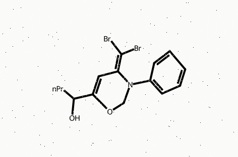 CCCC(O)C1=CC(=C(Br)Br)N(c2ccccc2)CO1